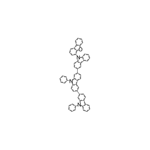 c1ccc(-n2c3ccccc3c3ccc(-c4ccc5c(c4)c4ccc(-c6ccc7c(c6)c6ccccc6n7-c6cccc7c6oc6ccccc67)cc4n5-c4ccccc4)cc32)cc1